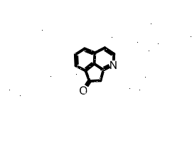 O=C1Cc2nccc3cccc1c23